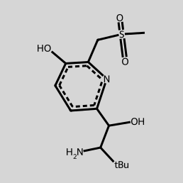 CC(C)(C)C(N)C(O)c1ccc(O)c(CS(C)(=O)=O)n1